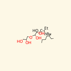 CCCCC(C)CC.CCCCC(CC)C(=O)O.OCC(O)COCC(O)CO